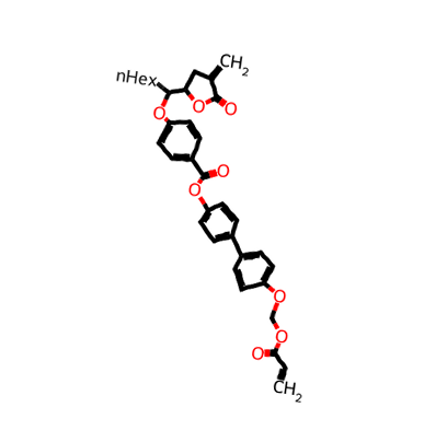 C=CC(=O)OCOc1ccc(-c2ccc(OC(=O)c3ccc(OC(CCCCCC)C4CC(=C)C(=O)O4)cc3)cc2)cc1